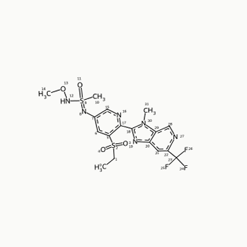 CCS(=O)(=O)c1cc(N=S(C)(=O)NOC)cnc1-c1nc2cc(C(F)(F)F)ncc2n1C